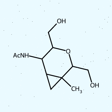 CC(=O)NC1C(CO)OC(CO)C2(C)CC12